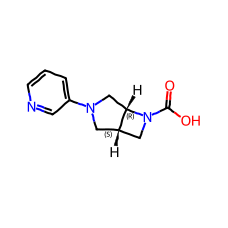 O=C(O)N1C[C@@H]2CN(c3cccnc3)C[C@@H]21